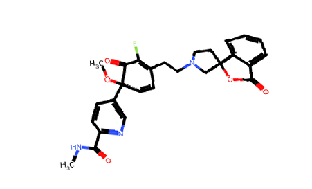 CNC(=O)c1ccc(C2(OC)C=CC(CCN3CCC4(C3)OC(=O)c3ccccc34)=C(F)C2=O)cn1